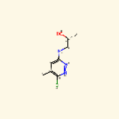 Cc1cc(NC[C@@H](C)O)nnc1Cl